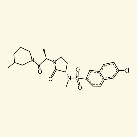 CC1CCCN(C(=O)[C@@H](C)N2CC[C@H](N(C)S(=O)(=O)c3ccc4cc(Cl)ccc4c3)C2=O)C1